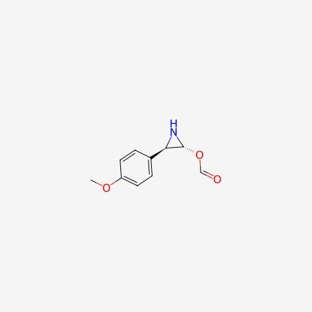 COc1ccc([C@H]2N[C@@H]2OC=O)cc1